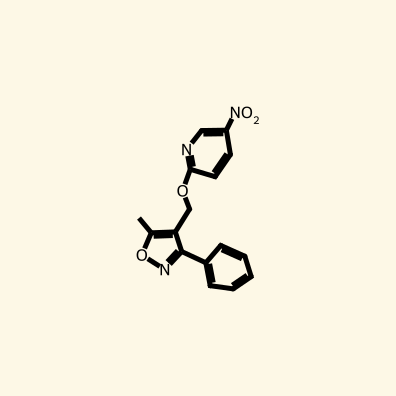 Cc1onc(-c2ccccc2)c1COc1ccc([N+](=O)[O-])cn1